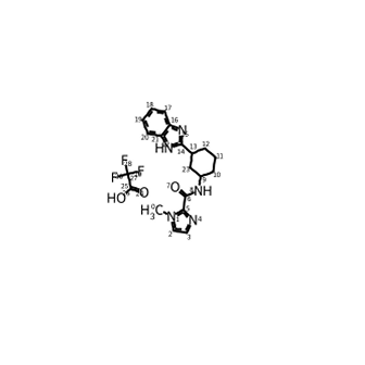 Cn1ccnc1C(=O)NC1CCCC(c2nc3ccccc3[nH]2)C1.O=C(O)C(F)(F)F